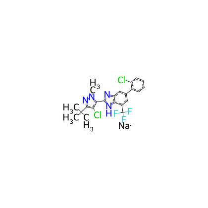 Cn1nc(C(C)(C)C)c(Cl)c1-c1nc2cc(-c3ccccc3Cl)cc(C(F)(F)F)c2[nH]1.[Na]